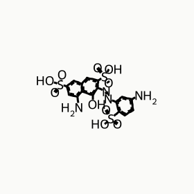 Nc1ccc(S(=O)(=O)O)c(N=Nc2c(S(=O)(=O)O)cc3cc(S(=O)(=O)O)cc(N)c3c2O)c1